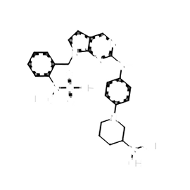 CN(C)C1CCCN(c2ccc(Nc3ncc4ccn(Cc5ccccc5N(C)S(C)(=O)=O)c4n3)cc2)C1